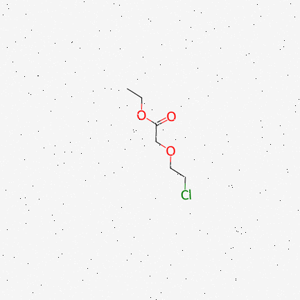 CCOC(=O)COCCCl